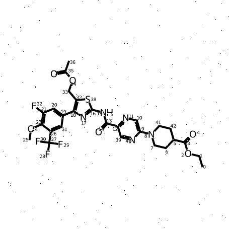 CCOC(=O)C1CCN(c2cnc(C(=O)Nc3nc(-c4cc(F)c(OC)c(C(F)(F)F)c4)c(COC(C)=O)s3)cn2)CC1